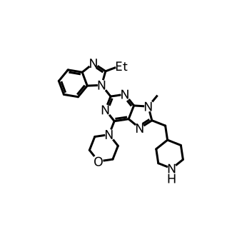 CCc1nc2ccccc2n1-c1nc(N2CCOCC2)c2nc(CC3CCNCC3)n(C)c2n1